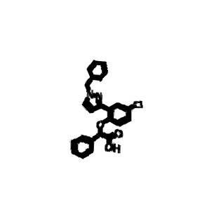 O=C(O)C(Oc1ccc(Cl)cc1-c1ccn(Cc2ccccc2)n1)c1ccccc1